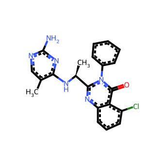 Cc1cnc(N)nc1N[C@@H](C)c1nc2cccc(Cl)c2c(=O)n1-c1ccccc1